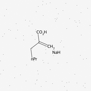 C=C(CCCC)C(=O)O.[NaH]